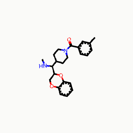 CNC(C1CCN(C(=O)c2cccc(C)c2)CC1)C1COc2ccccc2O1